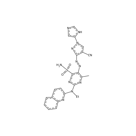 CCN(c1ccc2ccccc2n1)c1nc(C)c(N=Nc2nn(-c3cnc[nH]3)cc2C#N)c(S(N)(=O)=O)n1